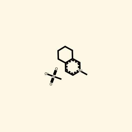 CS(=O)(=O)[O-].C[n+]1ccc2c(c1)CCCC2